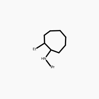 CCC1CCCCCCC1NC(C)C